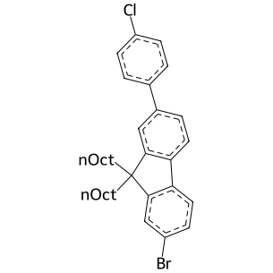 CCCCCCCCC1(CCCCCCCC)c2cc(Br)ccc2-c2ccc(-c3ccc(Cl)cc3)cc21